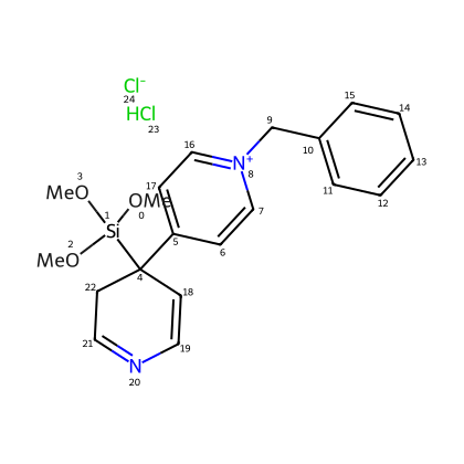 CO[Si](OC)(OC)C1(c2cc[n+](Cc3ccccc3)cc2)C=CN=CC1.Cl.[Cl-]